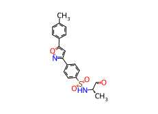 Cc1ccc(-c2cc(-c3ccc(S(=O)(=O)N[C@H](C)C=O)cc3)no2)cc1